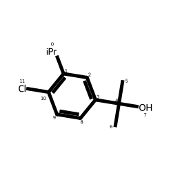 CC(C)c1cc(C(C)(C)O)ccc1Cl